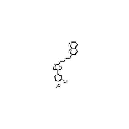 COc1ccc(-c2nnc(CCCCc3ccc4cccnc4n3)o2)cc1Cl